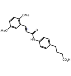 COc1ccc(OC)c(/C=C/C(=O)Nc2ccc(CCCC(=O)O)cc2)c1